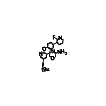 CC(C)(C)C#Cc1cnc2c(c1)C1(COCC(N)=N1)c1cc(-c3cccnc3F)ccc1O2